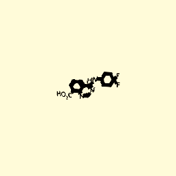 O=C(O)c1cccc2c(NC3CCC(F)(F)CC3)ncnc12